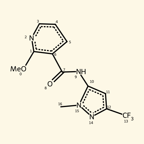 COc1ncccc1C(=O)Nc1cc(C(F)(F)F)nn1C